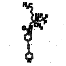 CCCCCC(C)(CNC(=O)c1ccc(C#Cc2ccncc2)cc1)NCC(F)(F)F